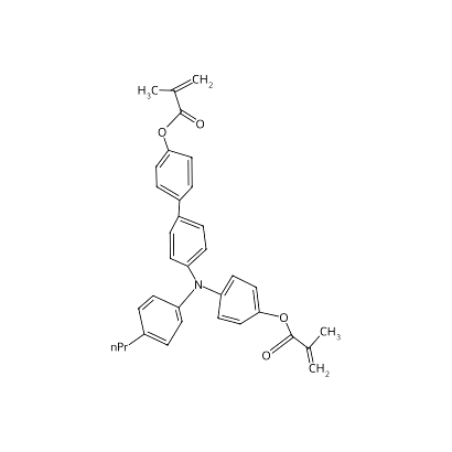 C=C(C)C(=O)Oc1ccc(-c2ccc(N(c3ccc(CCC)cc3)c3ccc(OC(=O)C(=C)C)cc3)cc2)cc1